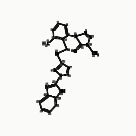 Cc1cccc(-n2nnn(C)c2=O)c1COc1ccn(-c2nc3ccccc3[nH]2)n1